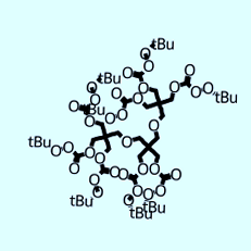 CC(C)(C)OOC(=O)OCC(COCC(COC(=O)OOC(C)(C)C)(COC(=O)OOC(C)(C)C)COC(=O)OOC(C)(C)C)(COCC(COC(=O)OOC(C)(C)C)(COC(=O)OOC(C)(C)C)COC(=O)OOC(C)(C)C)COC(=O)OOC(C)(C)C